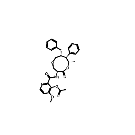 COc1ccnc(C(=O)N[C@H]2COC[C@H](Cc3ccccc3)[C@@H](c3ccccc3)[C@H](C)OC2=O)c1OC(C)=O